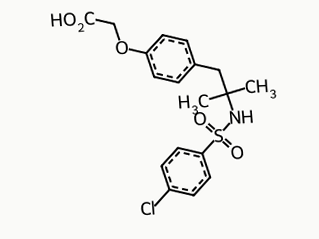 CC(C)(Cc1ccc(OCC(=O)O)cc1)NS(=O)(=O)c1ccc(Cl)cc1